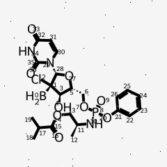 B[C@]1(Cl)[C@H](O)[C@@H](CO[P@](=O)(N[C@@H](C)COC(=O)C(C)C)Oc2ccccc2)O[C@H]1n1ccc(=O)[nH]c1=O